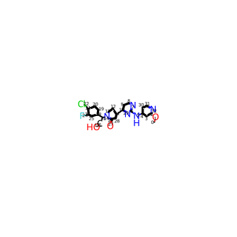 COc1cc(Nc2nccc(-c3ccn(C(CO)c4ccc(Cl)c(F)c4)c(=O)c3)n2)ccn1